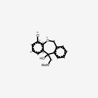 CNCC1(O)c2ccccc2COc2c(Cl)cccc21